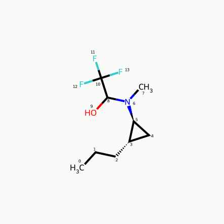 CCC[C@H]1C[C@@H]1N(C)C(O)C(F)(F)F